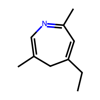 CCC1=CC(C)=NC=C(C)C1